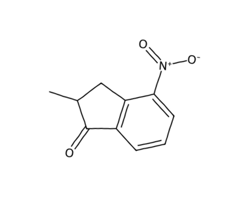 CC1Cc2c(cccc2[N+](=O)[O-])C1=O